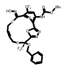 CC(C)(C)OC(=O)Nc1cc(C(F)(F)F)c2nc1-c1nnc(o1)[C@@](OCc1ccccc1)(C(F)(F)F)CCC=CCC/C2=N\O